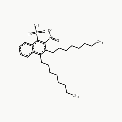 CCCCCCCCc1c([N+](=O)[O-])c(S(=O)(=O)O)c2ccccc2c1CCCCCCCC